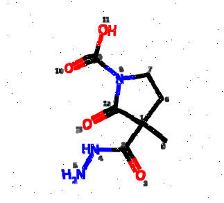 CC1(C(=O)NN)CCN(C(=O)O)C1=O